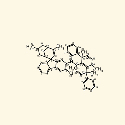 CC1=CC2(c3ccccc3-c3cc(Cl)c(N4c5ccccc5C5(C)C=CC(C)C6=C5C4(C)C=CC6(C)c4ccccc4)cc32)C2CC(C)CC1C2